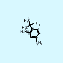 CC(C)(C)c1ccc(N)cc1N